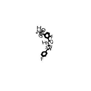 CNS(=O)(=O)c1ccc(F)c(C(=O)Nc2nnc(-c3ccc(F)cc3)s2)c1